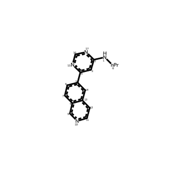 CCCNc1cc(-c2ccc3cnccc3c2)ncn1